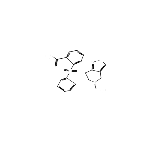 NC(=O)c1ccccc1S(=O)(=O)c1ccccc1.O=C(O)N1CCc2nocc2C1